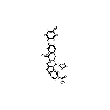 O=C(O)c1ccc2nc(CN3CCc4ccc(Oc5ccc(Cl)cc5)cc4C3=O)n(C[C@@H]3CCO3)c2c1